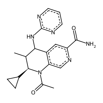 CC(=O)N1c2cnc(C(N)=O)cc2C(Nc2ncccn2)C(C)[C@@H]1C1CC1